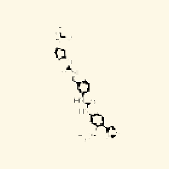 COc1cc(NC(=O)Nc2cccc(CNC(=O)O[C@@H]3CC[C@H](OC(C)=O)C3)c2)ccc1-c1cnco1